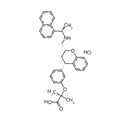 C[C@@H](NC[C@H]1C[C@@H](c2cccc(OC(C)(C)C(=O)O)c2)c2ccccc2O1)c1cccc2ccccc12.Cl